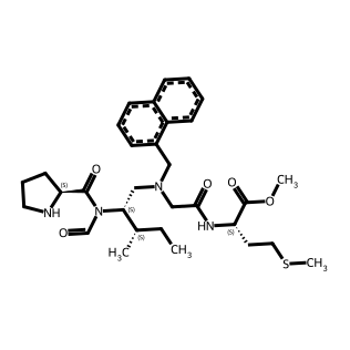 CC[C@H](C)[C@@H](CN(CC(=O)N[C@@H](CCSC)C(=O)OC)Cc1cccc2ccccc12)N(C=O)C(=O)[C@@H]1CCCN1